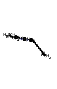 C=CC(=O)OCCCCCCCCCCCOc1ccc(/N=N/c2ccc(/N=N/c3nc4ccc(OCCC(C)(C)CC)cc4s3)cc2)cc1